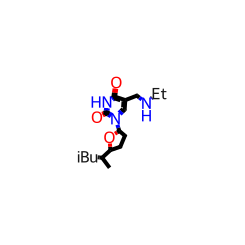 CCNCc1cn(C2CCC(C(C)C(C)CC)O2)c(=O)[nH]c1=O